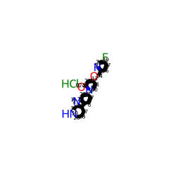 Cl.Cn1c2c(c3ccc(-n4ccc(OCc5ccc(F)cn5)cc4=O)cc31)CCCNC2